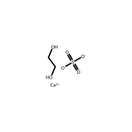 O=S(=O)([O-])[O-].OCCO.[Ca+2]